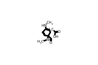 CC(=O)O.CNC1=CCC(C=O)(NC)C=C1